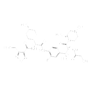 CCC(=O)N[C@@H](C(=O)N1CCN(C)C[C@H]1C)[C@@H](C)c1ccc(NC(=O)[C@@H](NC(=O)c2nonc2CC)[C@H]2CC[C@H](C)CC2)c(F)c1